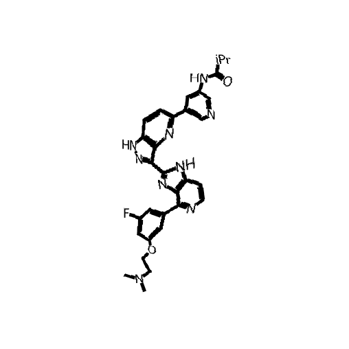 CC(C)C(=O)Nc1cncc(-c2ccc3[nH]nc(-c4nc5c(-c6cc(F)cc(OCCN(C)C)c6)nccc5[nH]4)c3n2)c1